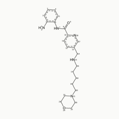 Nc1ccccc1NC(=O)c1ccc(CNCCCCCN2CCOCC2)cn1